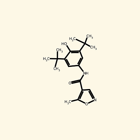 Cc1oncc1C(=O)Nc1cc(C(C)(C)C)c(O)c(C(C)(C)C)c1